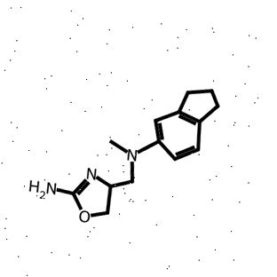 CN(CC1COC(N)=N1)c1ccc2c(c1)CCC2